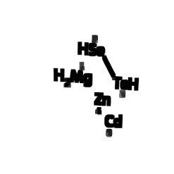 [Cd].[MgH2].[SeH][TeH].[Zn]